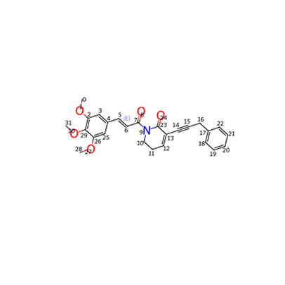 COc1cc(/C=C/C(=O)N2CCC=C(C#CCc3ccccc3)C2=O)cc(OC)c1OC